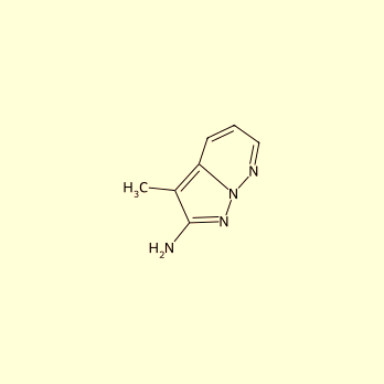 Cc1c(N)nn2ncccc12